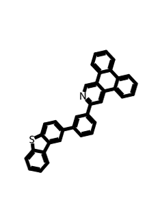 c1cc(-c2ccc3sc4ccccc4c3c2)cc(-c2cc3c4ccccc4c4ccccc4c3cn2)c1